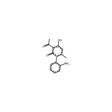 CC(=O)c1c(O)cc(C)n(-c2ccccc2N)c1=O